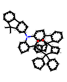 CC1(C)c2ccccc2-c2ccc(N(c3ccc4c(c3)C3(c5ccccc5-4)c4ccccc4C(c4ccccc4)(c4ccccc4)c4ccccc43)c3ccccc3-c3ccccc3)cc21